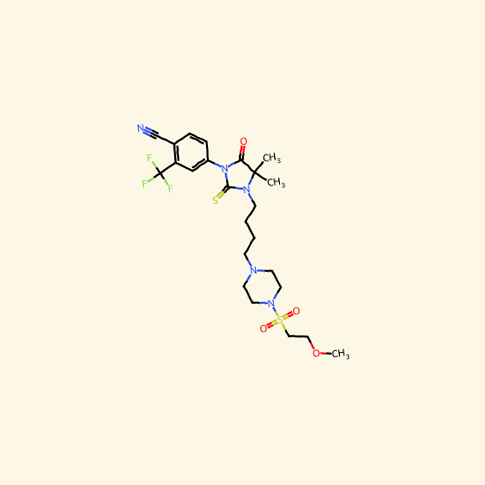 COCCS(=O)(=O)N1CCN(CCCCN2C(=S)N(c3ccc(C#N)c(C(F)(F)F)c3)C(=O)C2(C)C)CC1